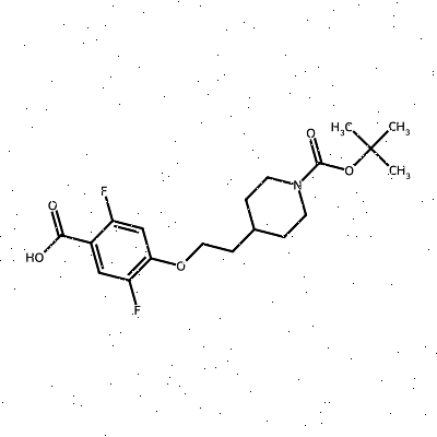 CC(C)(C)OC(=O)N1CCC(CCOc2cc(F)c(C(=O)O)cc2F)CC1